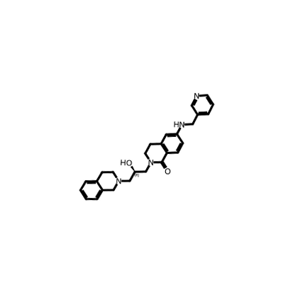 O=C1c2ccc(NCc3cccnc3)cc2CCN1C[C@H](O)CN1CCc2ccccc2C1